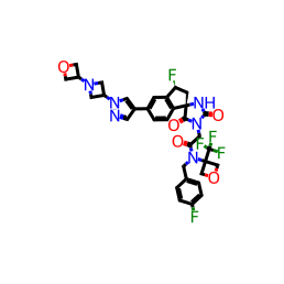 O=C1N[C@]2(C[C@@H](F)c3cc(-c4cnn(C5CN(C6COC6)C5)c4)ccc32)C(=O)N1CC(=O)N(Cc1ccc(F)cc1)C1(C(F)(F)F)COC1